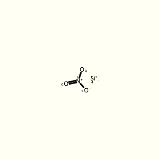 O=[N+]([O-])[O-].[Si+]